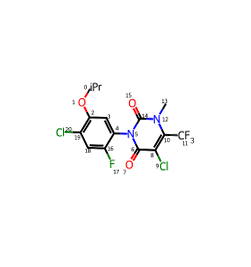 CC(C)Oc1cc(-n2c(=O)c(Cl)c(C(F)(F)F)n(C)c2=O)c(F)cc1Cl